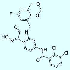 O=C(Nc1ccc2c(c1)N(Cc1cc(F)cc3c1OCOC3)C(=O)/C2=N\O)c1cccc(Cl)c1Cl